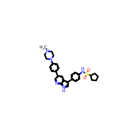 CN1CCN(c2ccc(-c3cnc4[nH]cc(-c5ccc(NS(=O)(=O)C6CCCC6)cc5)c4c3)cc2)CC1